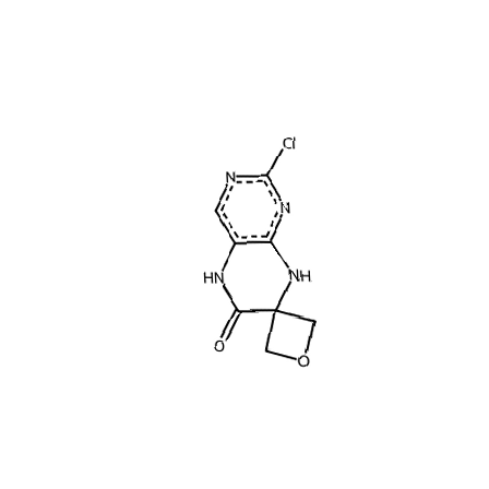 O=C1Nc2cnc(Cl)nc2NC12COC2